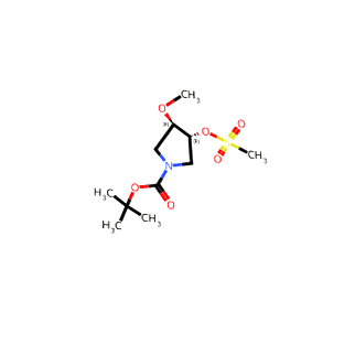 CO[C@@H]1CN(C(=O)OC(C)(C)C)C[C@H]1OS(C)(=O)=O